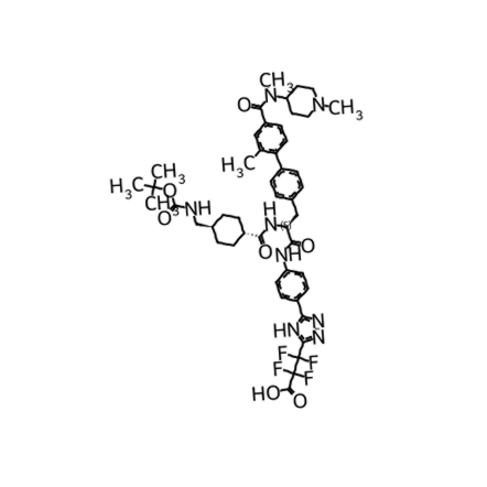 Cc1cc(C(=O)N(C)C2CCN(C)CC2)ccc1-c1ccc(C[C@H](NC(=O)[C@H]2CC[C@H](CNC(=O)OC(C)(C)C)CC2)C(=O)Nc2ccc(-c3nnc(C(F)(F)C(F)(F)C(=O)O)[nH]3)cc2)cc1